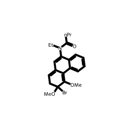 CCCC(=O)N(CC)c1cc2c(c3ccccc13)=C(OC)C(Br)(OC)CC=2